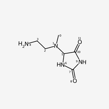 CN(CCN)C1NC(=O)NC1=O